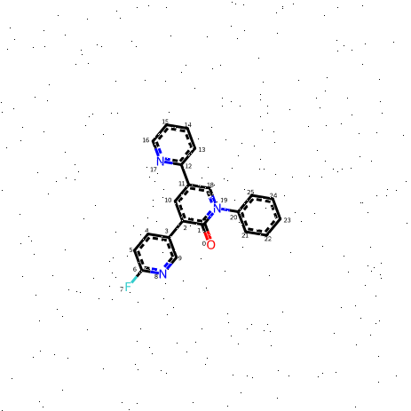 O=c1c(-c2ccc(F)nc2)cc(-c2ccccn2)cn1-c1ccccc1